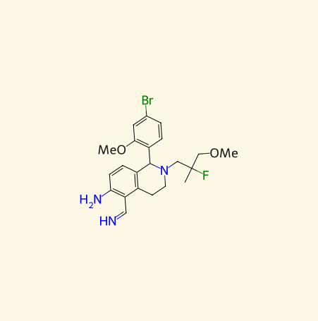 COCC(C)(F)CN1CCc2c(ccc(N)c2C=N)C1c1ccc(Br)cc1OC